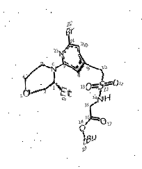 CC[C@H]1COCCN1c1cc(CS(=O)(=O)NCC(=O)OC(C)(C)C)cc(Br)n1